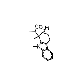 CC(C(=O)O)C1(C)CCCc2c1n(C)c1ccccc21